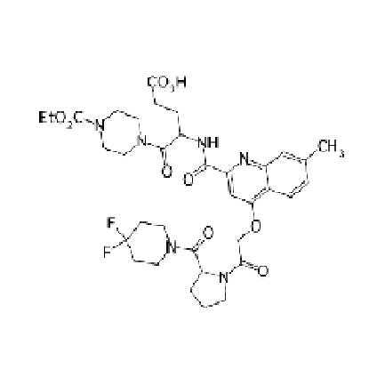 CCOC(=O)N1CCN(C(=O)C(CCC(=O)O)NC(=O)c2cc(OCC(=O)N3CCCC3C(=O)N3CCC(F)(F)CC3)c3ccc(C)cc3n2)CC1